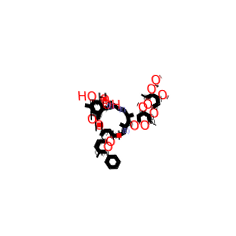 COCOC1[C@H](C)O[C@@H](O[C@H]2[C@H](C)OC(O[C@@H]3/C(C)=C/C[C@@H]4C[C@@H](C[C@]5(C=C[C@H](C)[C@@H](C6CCCCC6)O5)O4)OC(=O)[C@@H]4C=C(C)[C@@H](O)[C@H]5OC/C(=C\C=C\C3C)[C@]54O)C[C@@H]2OC)C[C@@H]1OC